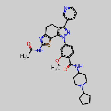 COc1cc(-n2nc(-c3cccnc3)c3c2-c2sc(NC(C)=O)nc2CC3)ccc1C(=O)NC1CCN(C2CCCC2)CC1